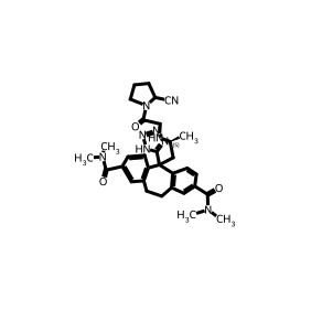 C[C@@H](CC1(c2nnn[nH]2)c2ccc(C(=O)N(C)C)cc2CCc2cc(C(=O)N(C)C)ccc21)NCC(=O)N1CCCC1C#N